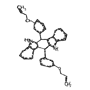 C=CCOc1cccc(C2c3[nH]c4ccccc4c3C(c3cccc(OCC=C)c3)c3[nH]c4ccccc4c32)c1